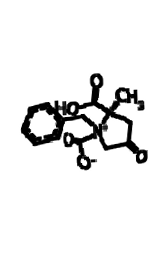 C[C@@]1(C(=O)O)CC(=O)C[N+]1(Cc1ccccc1)C(=O)[O-]